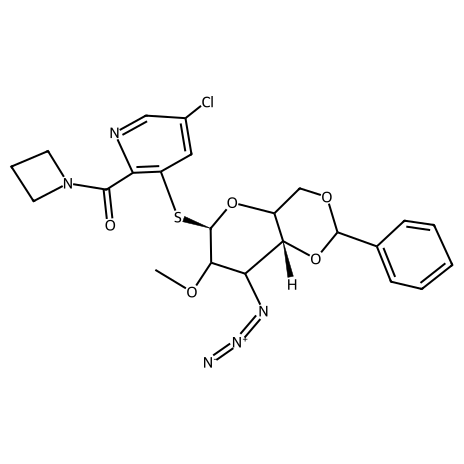 COC1C(N=[N+]=[N-])[C@H]2OC(c3ccccc3)OCC2O[C@@H]1Sc1cc(Cl)cnc1C(=O)N1CCC1